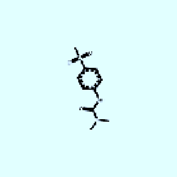 CN(C)C(=O)Nc1ccc(S(C)(=O)=O)cc1